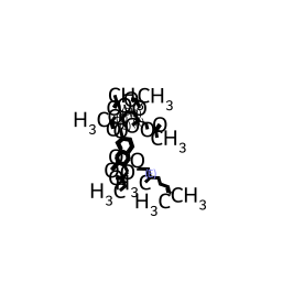 CCC(=O)Oc1c(OC/C=C(\C)CCC=C(C)C)c2ccc(O[C@@H]3O[C@H](COC(C)=O)[C@@H](OC(C)=O)[C@H](OC(C)=O)[C@H]3OC(C)=O)cc2oc1=O